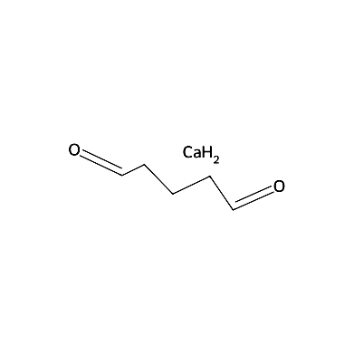 O=CCCCC=O.[CaH2]